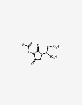 CCC(=O)ON1C(=O)CC([SH](SS(=O)(=O)O)S(=O)(=O)O)C1=O